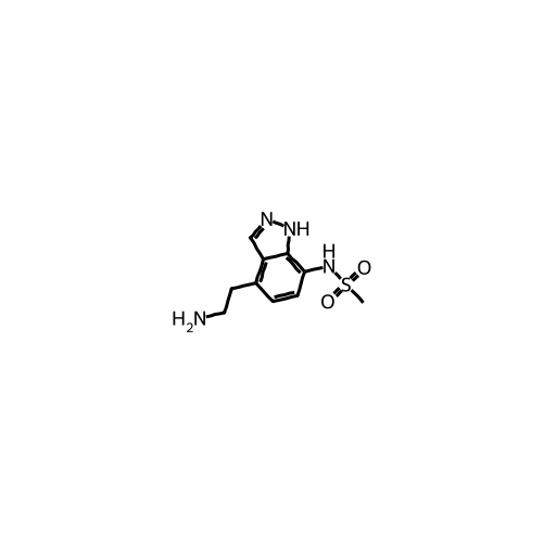 CS(=O)(=O)Nc1ccc(CCN)c2cn[nH]c12